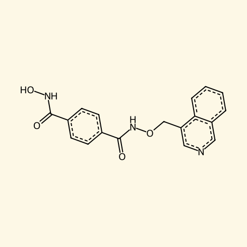 O=C(NO)c1ccc(C(=O)NOCc2cncc3ccccc23)cc1